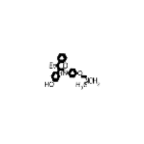 CCC(=C(C(=O)Nc1ccc(OCCN(C)C)cc1)c1ccc(O)cc1)c1ccccc1